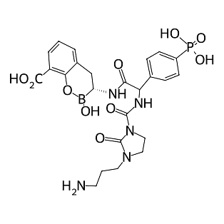 NCCCN1CCN(C(=O)NC(C(=O)N[C@H]2Cc3cccc(C(=O)O)c3OB2O)c2ccc(P(=O)(O)O)cc2)C1=O